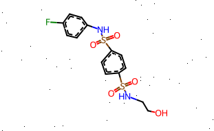 O=S(=O)(NCCO)c1ccc(S(=O)(=O)Nc2ccc(F)cc2)cc1